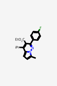 CCOC(=O)c1c(-c2ccc(F)cc2)nn2c(C)ccc2c1C(C)C